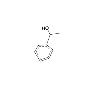 CC(O)c1cc[c]cc1